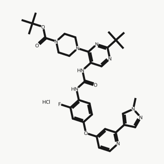 Cl.Cn1cc(-c2cc(Oc3ccc(NC(=O)Nc4cnc(C(C)(C)C)nc4N4CCN(C(=O)OC(C)(C)C)CC4)c(F)c3)ccn2)cn1